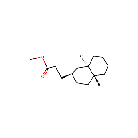 COC(=O)CC[C@@H]1CC[C@H]2CCCC[C@@H]2C1